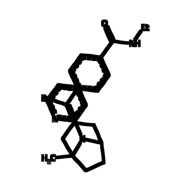 CCNC(=O)c1ccc(C(Br)=C2CC3CCC(C)(C2)N3c2ccccn2)cc1